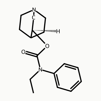 CCN(C(=O)O[C@@H]1CN2CCC1CC2)c1ccccc1